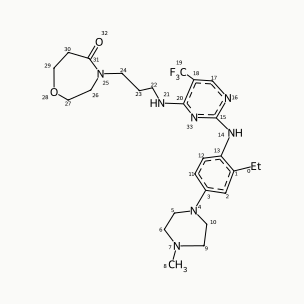 CCc1cc(N2CCN(C)CC2)ccc1Nc1ncc(C(F)(F)F)c(NCCCN2CCOCCC2=O)n1